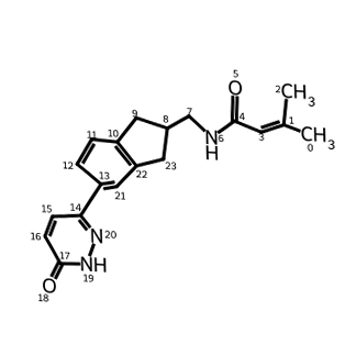 CC(C)=CC(=O)NCC1Cc2ccc(-c3ccc(=O)[nH]n3)cc2C1